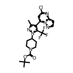 Cc1nn(C2CCN(C(=O)OC(C)(C)C)CC2)c(C(F)(F)F)c1-c1cc(Cl)nc2ccnn12